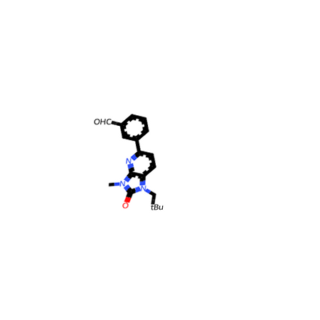 Cn1c(=O)n(CC(C)(C)C)c2ccc(-c3cccc(C=O)c3)nc21